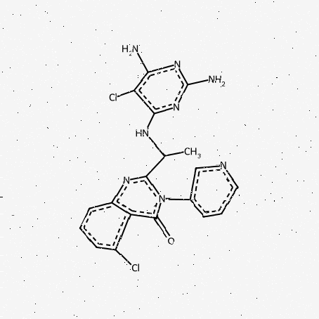 CC(Nc1nc(N)nc(N)c1Cl)c1nc2cccc(Cl)c2c(=O)n1-c1cccnc1